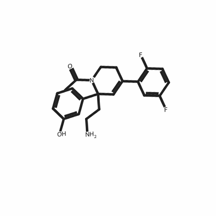 CC(=O)N1CCC(c2cc(F)ccc2F)=CC1(CCN)c1cccc(O)c1